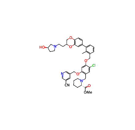 COC(=O)[C@@H]1CCCCN1Cc1cc(Cl)c(OCc2cccc(-c3ccc4c(c3)OC(CCN3CC[C@@H](O)C3)CO4)c2C)cc1OCc1cncc(C#N)c1